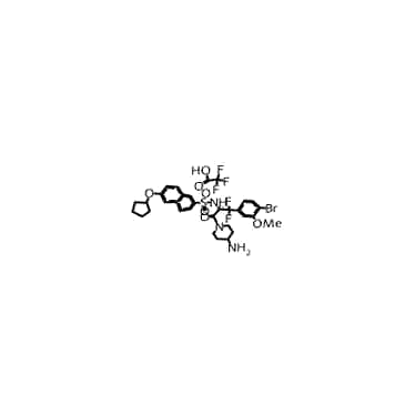 COc1cc(C(F)(F)[C@@H](NS(=O)(=O)c2ccc3cc(OC4CCCC4)ccc3c2)C(=O)N2CCC(N)CC2)ccc1Br.O=C(O)C(F)(F)F